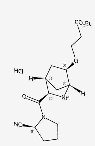 CCOC(=O)CCO[C@@H]1C[C@@H]2C[C@H]1N[C@H]2C(=O)N1CCC[C@H]1C#N.Cl